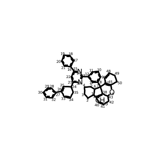 CC1CCCCC1C1(c2cccc(-c3nc(-c4ccccc4)cc(C4C=C(c5ccccc5)C=CC4)n3)c2)C2=CC=CCC2OC2=C1C=CCC2